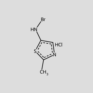 Cc1ncc(NBr)s1.Cl